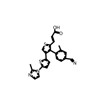 Cc1cc(C#N)ccc1-c1c(-c2ccc(-n3ccnc3C)s2)csc1C=CC(=O)O